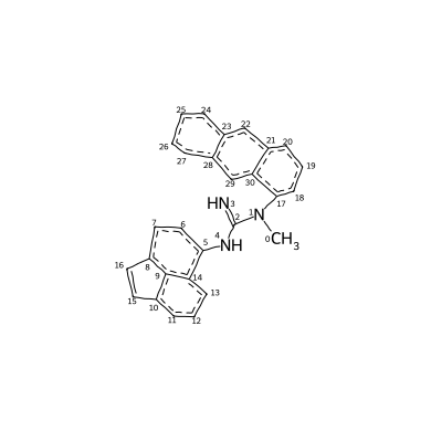 CN(C(=N)Nc1ccc2c3c(cccc13)C=C2)c1cccc2cc3ccccc3cc12